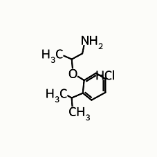 CC(CN)Oc1ccccc1C(C)C.Cl